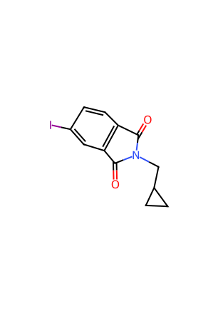 O=C1c2ccc(I)cc2C(=O)N1CC1CC1